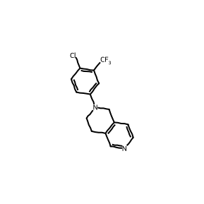 FC(F)(F)c1cc(N2CCc3cnccc3C2)ccc1Cl